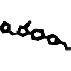 O=C1O[C@@H](Cn2ccnn2)CN1c1ccc(C2=CC3C(CO)C3C2)cc1